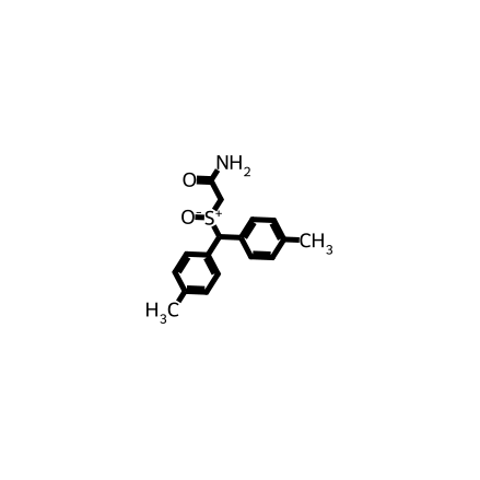 Cc1ccc(C(c2ccc(C)cc2)[S+]([O-])CC(N)=O)cc1